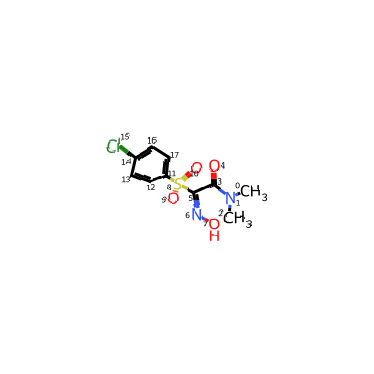 CN(C)C(=O)C(=NO)S(=O)(=O)c1ccc(Cl)cc1